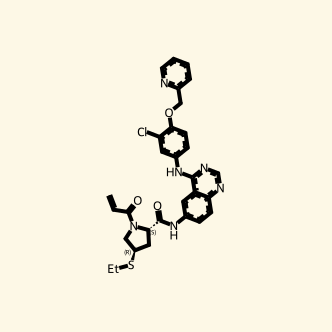 C=CC(=O)N1C[C@H](SCC)C[C@H]1C(=O)Nc1ccc2ncnc(Nc3ccc(OCc4ccccn4)c(Cl)c3)c2c1